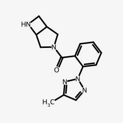 Cc1cnn(-c2ccccc2C(=O)N2CC3CNC3C2)n1